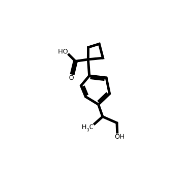 CC(CO)c1ccc(C2(C(=O)O)CCC2)cc1